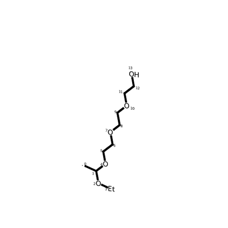 [CH2]C(OCC)OCCOCCOCCO